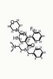 CN(C)CCN(Cc1ccccc1)C(=O)C1=C(c2ccccc2F)N=C(N2CCOCC2)NC1